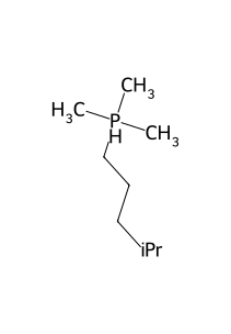 CC(C)CCC[PH](C)(C)C